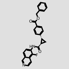 O=C(OCc1ccccc1)c1ccc([C@@H]2C[C@H]2C(=O)Nc2ccc3cnccc3c2F)cc1